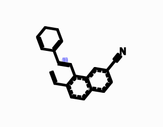 C=Cc1ccc2ccc(C#N)cc2c1/C=C/C1=CCCC=C1